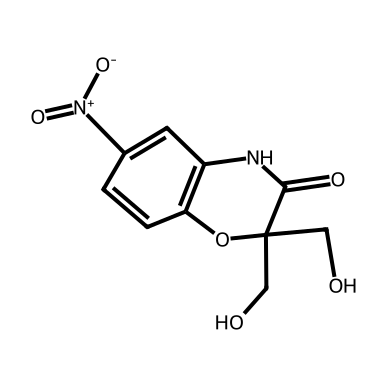 O=C1Nc2cc([N+](=O)[O-])ccc2OC1(CO)CO